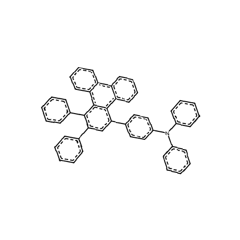 c1ccc(-c2cc(-c3ccc(N(c4ccccc4)c4ccccc4)cc3)c3c4ccccc4c4ccccc4c3c2-c2ccccc2)cc1